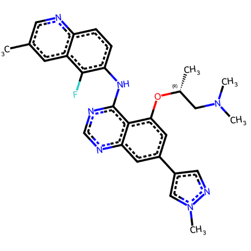 Cc1cnc2ccc(Nc3ncnc4cc(-c5cnn(C)c5)cc(O[C@H](C)CN(C)C)c34)c(F)c2c1